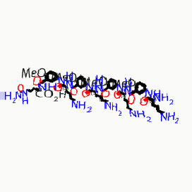 COc1ccc(NC(=O)[C@H](CCCCN)NC(=O)c2cc(NC(=O)[C@H](CCCCN)NC(=O)c3cc(NC(=O)[C@H](CCCCN)NC(=O)c4cc(NC(=O)[C@@H](N)CCCCN)ccc4OC)ccc3OC)ccc2OC)cc1C(=O)N[C@@H](CCCNC(N)=O)C(=O)O